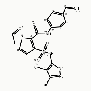 CC=O.Cc1noc(NS(=O)(=O)c2ccsc2C(=O)Nc2ccc(CN)cc2)c1Cl